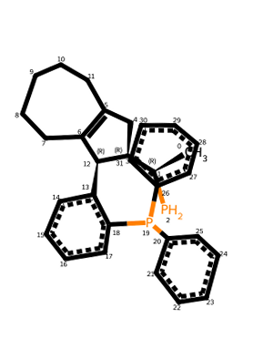 C[C@@H](P)[C@@H]1CC2=C(CCCCC2)[C@@H]1c1ccccc1P(c1ccccc1)c1ccccc1